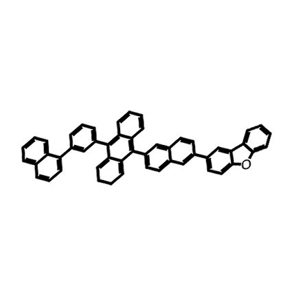 C1=c2c(-c3cccc(-c4cccc5ccccc45)c3)c3ccccc3c(-c3ccc4cc(-c5ccc6oc7ccccc7c6c5)ccc4c3)c2=CCC1